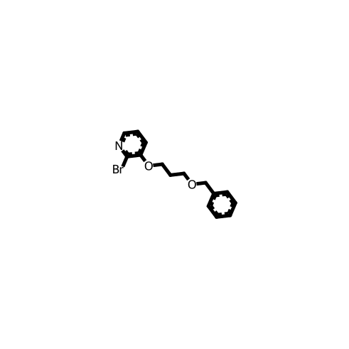 Brc1ncccc1OCCCOCc1ccccc1